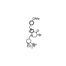 COc1ccc(Cn2cc3c(n2)N(CC2CCN(C(=O)O)C(C(C)(C)C)C2)CCC(Br)C3=O)cc1